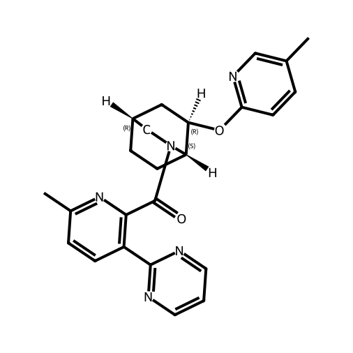 Cc1ccc(O[C@@H]2C[C@H]3CC[C@@H]2N(C(=O)c2nc(C)ccc2-c2ncccn2)C3)nc1